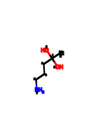 CCC(O)(O)CCCN